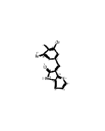 Cc1c(Br)cc(C=C2C(=O)Nc3cccnc32)cc1Br